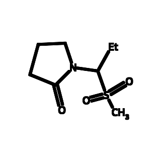 CCC(N1CCCC1=O)S(C)(=O)=O